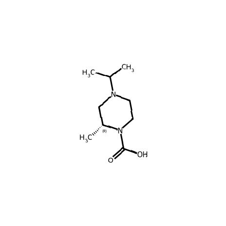 CC(C)N1CCN(C(=O)O)[C@H](C)C1